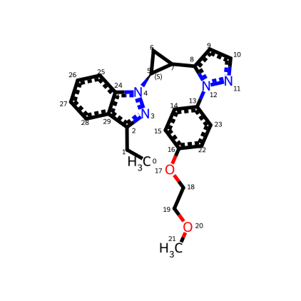 CCc1nn([C@H]2CC2c2ccnn2-c2ccc(OCCOC)cc2)c2ccccc12